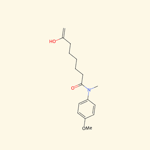 C=C(O)CCCCCC(=O)N(C)c1ccc(OC)cc1